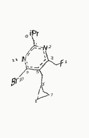 CC(C)c1nc(F)c(C2CC2)c(Br)n1